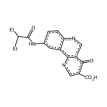 CCC(CC)C(=O)Nc1ccc2ncn3c(=O)c(C(=O)O)cnc3c2c1